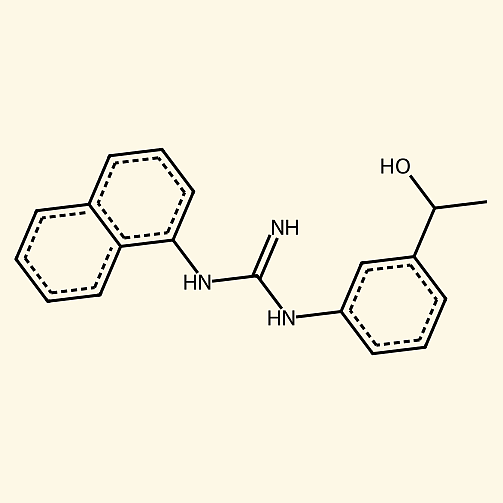 CC(O)c1cccc(NC(=N)Nc2cccc3ccccc23)c1